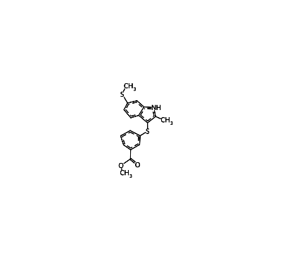 COC(=O)c1cccc(Sc2c(C)[nH]c3cc(SC)ccc23)c1